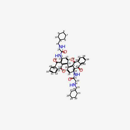 O=C(CNCC1CCCCC1)Nc1ccc(-c2ccc(NC(=O)CNCC3CCCCC3)c3c2C(=O)c2ccccc2C3=O)c2c1C(=O)c1ccccc1C2=O